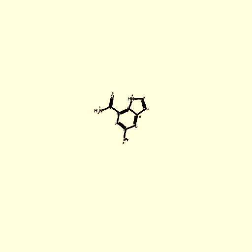 CC(C)c1cc(C(N)=O)c2[nH]ccc2c1